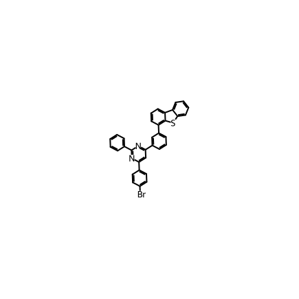 Brc1ccc(-c2cc(-c3cccc(-c4cccc5c4sc4ccccc45)c3)nc(-c3ccccc3)n2)cc1